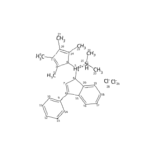 CC1=C(C)[CH]([Hf+2]([CH]2C=C(c3ccccc3)c3ccccc32)[SiH](C)C)C(C)=C1C.[Cl-].[Cl-]